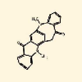 CN1c2cc(c3c(c2)c(=O)c2ccccc2n3C)CC(=O)c2ccccc21